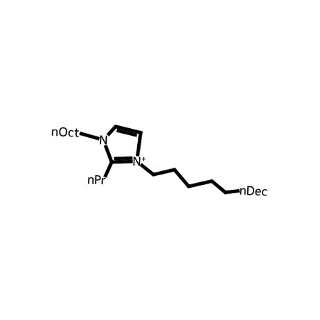 CCCCCCCCCCCCCCC[n+]1ccn(CCCCCCCC)c1CCC